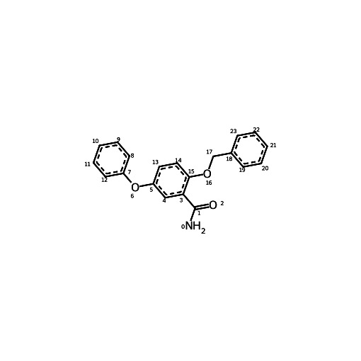 NC(=O)c1cc(Oc2ccccc2)ccc1OCc1ccccc1